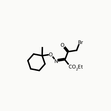 CCOC(=O)/C(=N/OC1(C)CCCCC1)C(=O)CBr